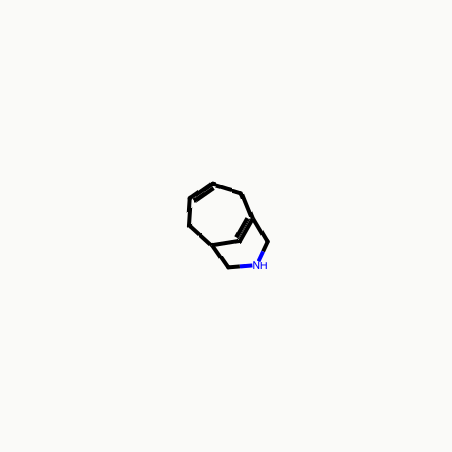 C1=CCC2C=C(C1)CNC2